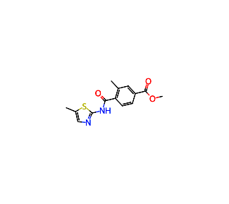 COC(=O)c1ccc(C(=O)Nc2ncc(C)s2)c(C)c1